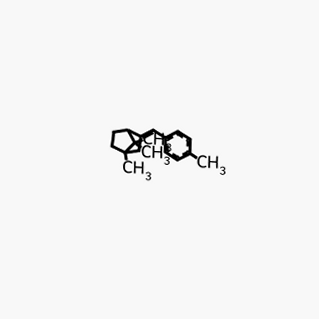 Cc1ccc(C=C2CC3(C)CCC2C3(C)C)cc1